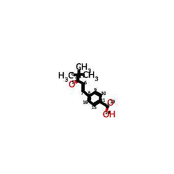 CC(C)(C)C(=O)C=Cc1ccc(C(=O)O)cc1